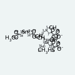 CCCCC(CC)CC(=O)C(S)C(=O)[O-].CCCCC(CC)CC(=O)C(S)C(=O)[O-].COC(=O)C[CH2][Sn+2][CH2]CC(=O)OC